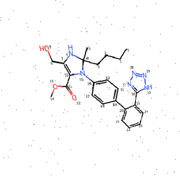 CCCCC1(C)NC(CO)=C(C(=O)OC)N1c1ccc(-c2ccccc2-c2nnn[nH]2)cc1